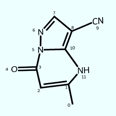 Cc1cc(=O)n2ncc(C#N)c2[nH]1